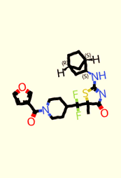 CC1(C(F)(F)C2CCN(C(=O)c3ccoc3)CC2)SC(N[C@H]2C[C@@H]3CC[C@H]2C3)=NC1=O